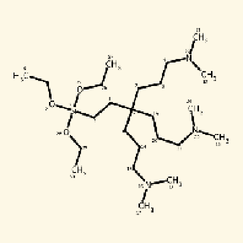 CCO[Si](CCC(CCCN(C)C)(CCCN(C)C)CCCN(C)C)(OCC)OCC